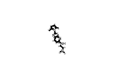 Cc1ccc(C)n1-c1nc2ccc(NCCN(C)C)nc2s1